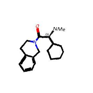 CN[C@H](C(=O)N1CCc2ccccc2C1)C1CCCCC1